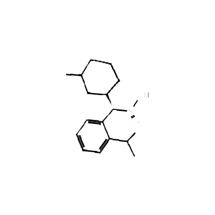 CC1CCCC([C@H](c2ccccc2C(C)C)S(=O)O)C1